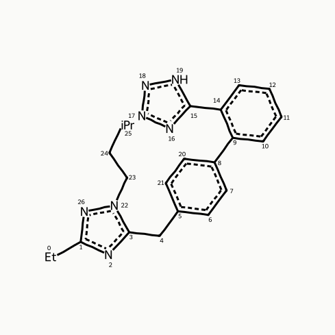 CCc1nc(Cc2ccc(-c3ccccc3-c3nnn[nH]3)cc2)n(CCC(C)C)n1